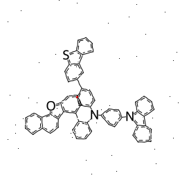 c1ccc(N(c2ccc(-c3ccc4sc5ccccc5c4c3)cc2)c2ccc(-n3c4ccccc4c4ccccc43)cc2)c(-c2cccc3oc4c5ccccc5ccc4c23)c1